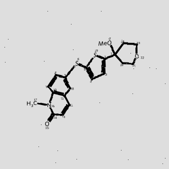 COC1(c2ccc(Sc3ccc4c(ccc(=O)n4C)c3)s2)CCOCC1